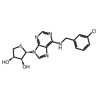 O[C@@H]1[C@H](n2cnc3c(NCc4cccc(Cl)c4)ncnc32)SC[C@@H]1O